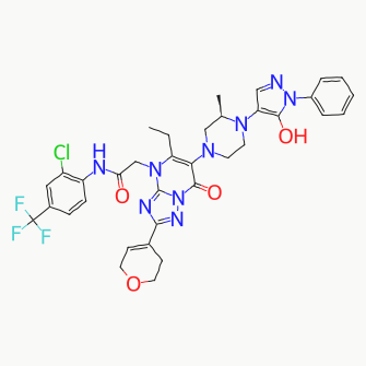 CCc1c(N2CCN(c3cnn(-c4ccccc4)c3O)[C@H](C)C2)c(=O)n2nc(C3=CCOCC3)nc2n1CC(=O)Nc1ccc(C(F)(F)F)cc1Cl